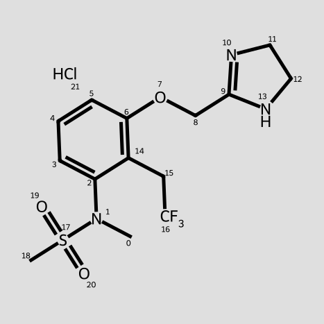 CN(c1cccc(OCC2=NCCN2)c1CC(F)(F)F)S(C)(=O)=O.Cl